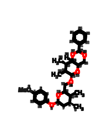 COc1ccc(O[C@@H]2C[C@@H](C)[C@H](C)C(CO[C@@H]3OC4COC(c5ccccc5)O[C@H]4[C@H](C)C3C)O2)cc1